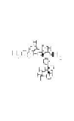 C=CC(=O)N1C[C@H]2CC(n3nc(-c4ccc(C(=O)Nc5ncccc5C(F)(F)F)cc4)c4c(N)ncnc43)[C@@H]1C2